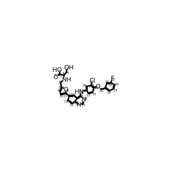 O=C(O)C(CO)NCc1ccc(-c2ccc3ncnc(Nc4ccc(OCc5cccc(F)c5)c(Cl)c4)c3c2)o1